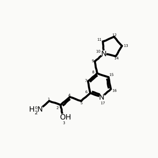 NCC(O)=CCc1cc(CN2CCCC2)ccn1